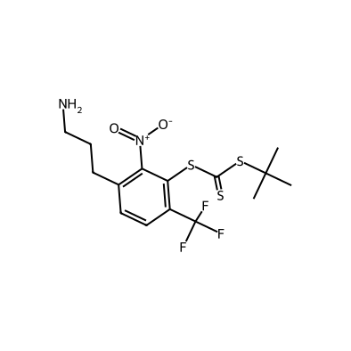 CC(C)(C)SC(=S)Sc1c(C(F)(F)F)ccc(CCCN)c1[N+](=O)[O-]